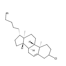 CC(C)CCCC[C@H]1CC[C@H]2[C@@H]3CC=C4CC(Cl)CC[C@]4(C)[C@H]3CC[C@]12C